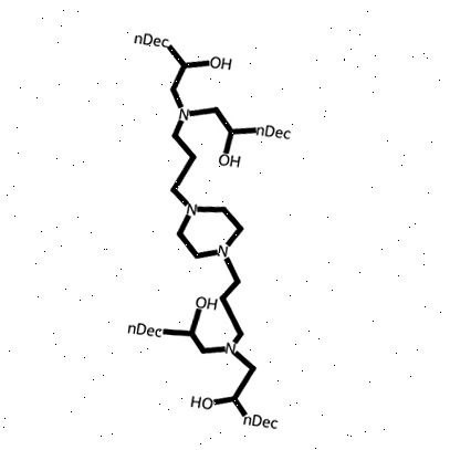 CCCCCCCCCCC(O)CN(CCCN1CCN(CCCN(CC(O)CCCCCCCCCC)CC(O)CCCCCCCCCC)CC1)CC(O)CCCCCCCCCC